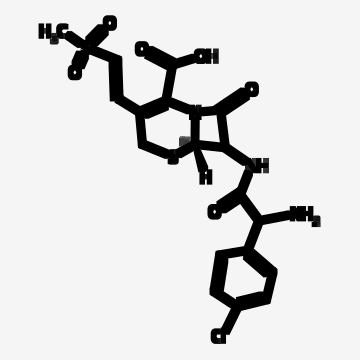 CS(=O)(=O)C=CC1=C(C(=O)O)N2C(=O)C(NC(=O)C(N)c3ccc(Cl)cc3)[C@@H]2SC1